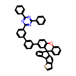 c1ccc(-c2nc(-c3ccccc3)nc(-c3cccc(-c4cccc(-c5ccc6c(c5)C5(c7ccccc7O6)c6ccccc6-c6c5ccc5ccsc65)c4)c3)n2)cc1